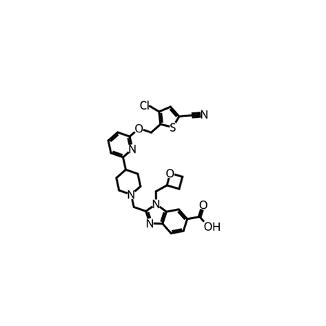 N#Cc1cc(Cl)c(COc2cccc(C3CCN(Cc4nc5ccc(C(=O)O)cc5n4CC4CCO4)CC3)n2)s1